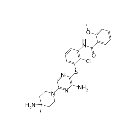 COc1ccccc1C(=O)Nc1cccc(Sc2ncc(N3CCC(C)(N)CC3)nc2N)c1Cl